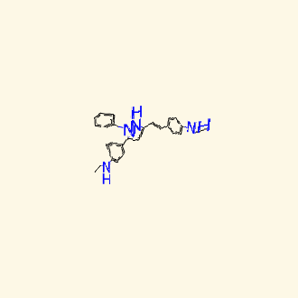 CCNc1ccc(C=CC2=CC(c3ccc(NCC)cc3)N(c3ccccc3)N2)cc1